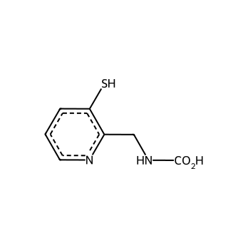 O=C(O)NCc1ncccc1S